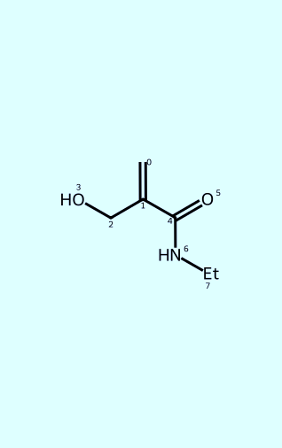 C=C(CO)C(=O)NCC